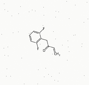 C=CC(=O)Cc1c(F)cccc1F